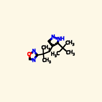 CC(C)(C)c1[nH]ncc1CC(C)(C)c1ncon1